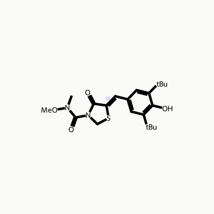 CON(C)C(=O)N1CS/C(=C\c2cc(C(C)(C)C)c(O)c(C(C)(C)C)c2)C1=O